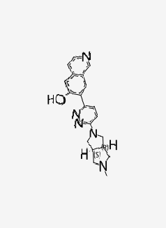 CN1C[C@@H]2CN(c3ccc(-c4cc5cnccc5cc4O)nn3)C[C@@H]2C1